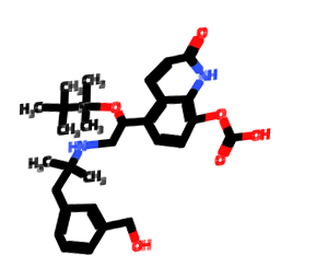 CC(C)(Cc1cccc(CO)c1)NCC(O[Si](C)(C)C(C)(C)C)c1ccc(OC(=O)O)c2[nH]c(=O)ccc12